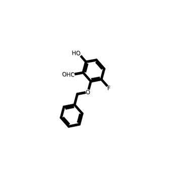 O=Cc1c(O)ccc(F)c1OCc1ccccc1